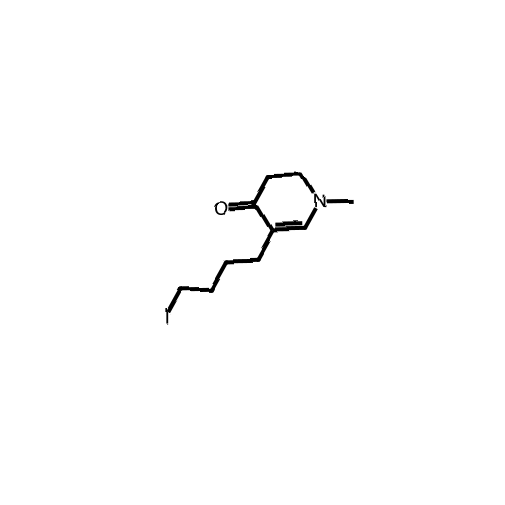 CN1C=C(CCCCI)C(=O)CC1